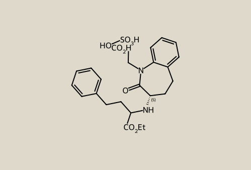 CCOC(=O)C(CCc1ccccc1)N[C@H]1CCc2ccccc2N(CC(=O)O)C1=O.O=S(=O)(O)O